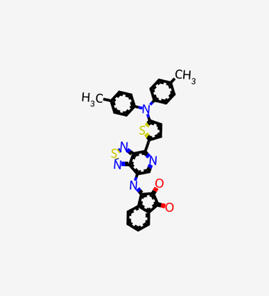 Cc1ccc(N(c2ccc(C)cc2)c2ccc(-c3ncc(/N=c4\c(=O)c(=O)c5ccccc45)c4nsnc34)s2)cc1